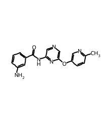 Cc1ccc(Oc2cncc(NC(=O)c3cccc(N)c3)n2)cn1